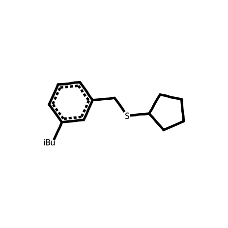 CCC(C)c1cccc(CSC2CCCC2)c1